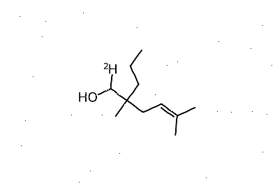 [2H]C(O)C(C)(CC=C(C)C)CCC